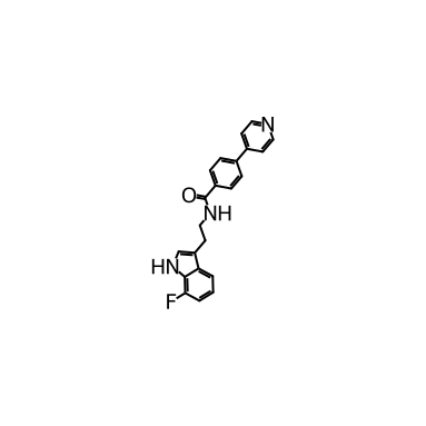 O=C(NCCc1c[nH]c2c(F)cccc12)c1ccc(-c2ccncc2)cc1